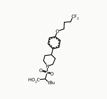 CC(C)(C)C(C(=O)O)S(=O)(=O)N1CCC(c2ccc(OCCCC(F)(F)F)cc2)CC1